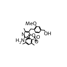 COc1cc(CO)ccc1Cc1c(C)nc(N)nc1OS(=O)(=O)c1c(C)cc(C)cc1C